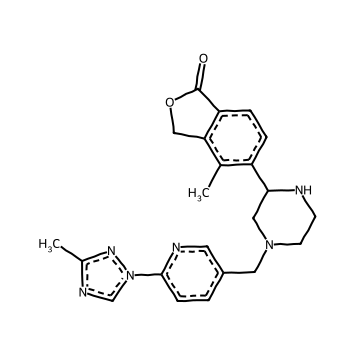 Cc1ncn(-c2ccc(CN3CCNC(c4ccc5c(c4C)COC5=O)C3)cn2)n1